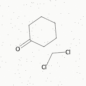 ClCCl.O=C1CCCCC1